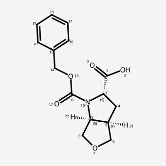 O=C(O)[C@@H]1C[C@H]2COC[C@H]2N1C(=O)OCc1ccccc1